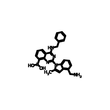 Cc1cc2c(CN)cccc2n1-c1nc(NCc2ccccc2)c2cccc(B(O)O)c2n1